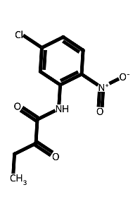 CCC(=O)C(=O)Nc1cc(Cl)ccc1[N+](=O)[O-]